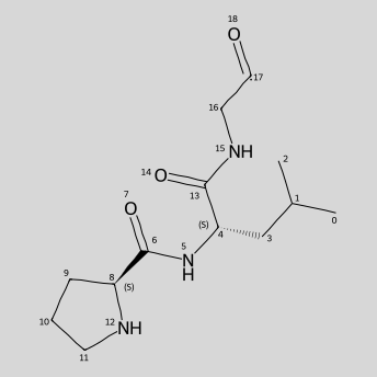 CC(C)C[C@H](NC(=O)[C@@H]1CCCN1)C(=O)NC[C]=O